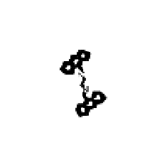 C(=NCCN=Cc1c2ccccc2cc2ccccc12)c1c2ccccc2cc2ccccc12